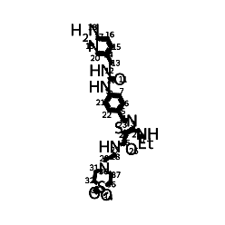 CCNc1nc(-c2ccc(NC(=O)NCc3ccc(N)nc3)cc2)sc1C(=O)NCCN1CCS(=O)(=O)CC1